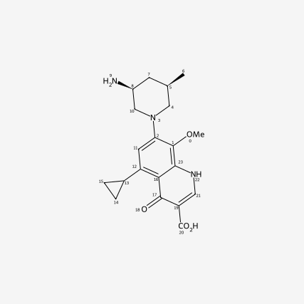 COc1c(N2C[C@H](C)C[C@H](N)C2)cc(C2CC2)c2c(=O)c(C(=O)O)c[nH]c12